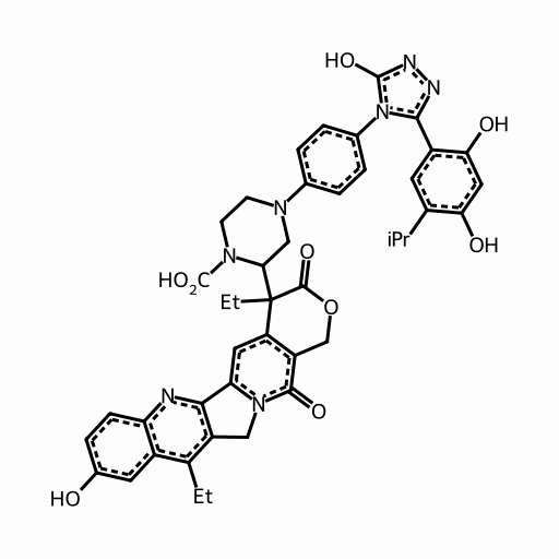 CCc1c2c(nc3ccc(O)cc13)-c1cc3c(c(=O)n1C2)COC(=O)C3(CC)C1CN(c2ccc(-n3c(O)nnc3-c3cc(C(C)C)c(O)cc3O)cc2)CCN1C(=O)O